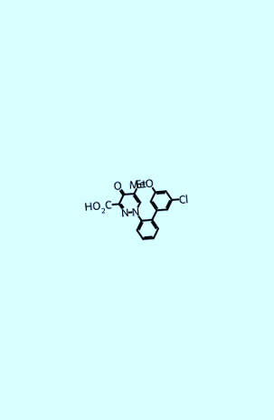 CCc1cn(-c2ccccc2-c2cc(Cl)cc(OC)c2)nc(C(=O)O)c1=O